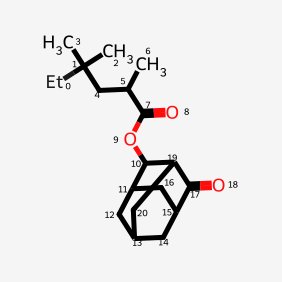 CCC(C)(C)CC(C)C(=O)OC1C2CC3CC(C2)C(=O)C1C3